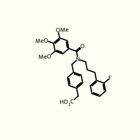 COc1cc(C(=O)N(CCCc2ccccc2F)Cc2ccc(CC(=O)O)cc2)cc(OC)c1OC